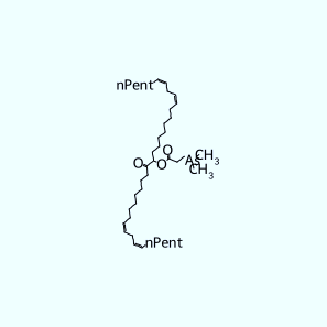 CCCCC/C=C\C/C=C\CCCCCCCC(=O)C(CCCCCCC/C=C\C/C=C\CCCCC)OC(=O)CC[As](C)C